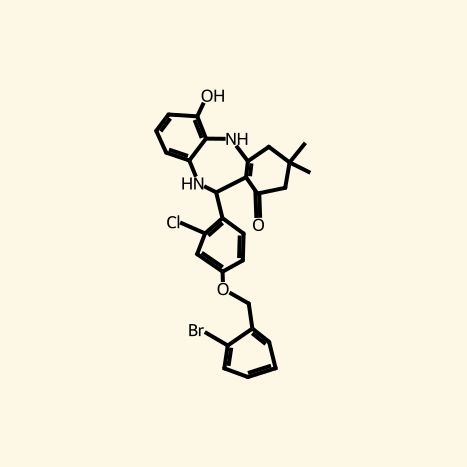 CC1(C)CC(=O)C2=C(C1)Nc1c(O)cccc1NC2c1ccc(OCc2ccccc2Br)cc1Cl